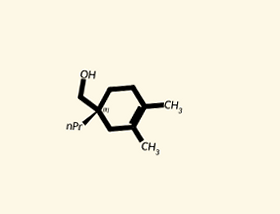 CCC[C@@]1(CO)CCC(C)=C(C)C1